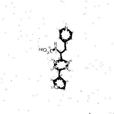 O=C(O)NC(Cc1ccncc1)c1nnc(-c2ccoc2)nn1